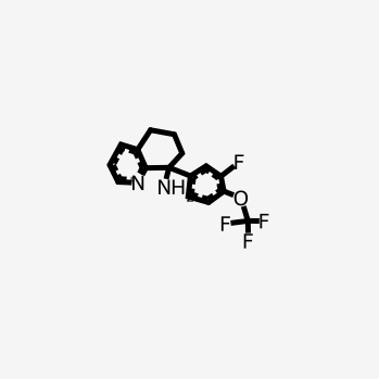 NC1(c2ccc(OC(F)(F)F)c(F)c2)CCCc2cccnc21